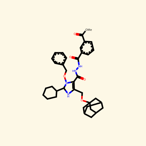 COC(=O)c1cccc(C(=O)NNC(=O)C2=C(COC34CC5CC(CC(C5)C3)C4)NC(C3CCCCC3)N2OCc2ccccc2)c1